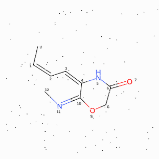 C\C=C/C=C1/NC(=O)CO/C1=N/C